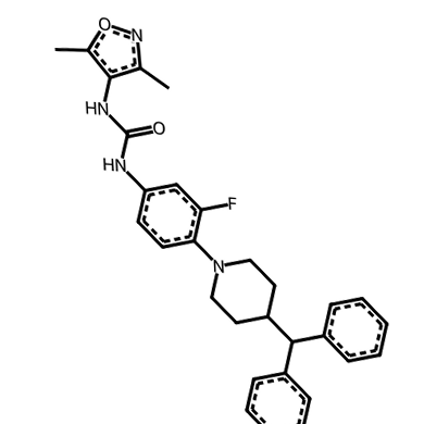 Cc1noc(C)c1NC(=O)Nc1ccc(N2CCC(C(c3ccccc3)c3ccccc3)CC2)c(F)c1